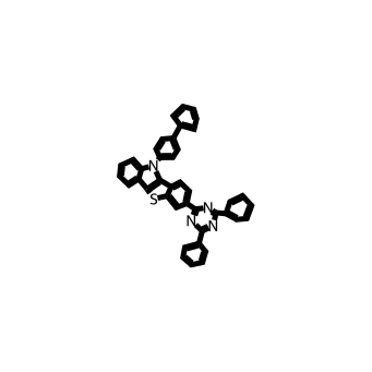 c1ccc(-c2ccc(-n3c4ccccc4c4sc5cc(-c6nc(-c7ccccc7)nc(-c7ccccc7)n6)ccc5c43)cc2)cc1